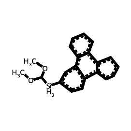 COC(OC)[SiH2]c1ccc2c3ccccc3c3ccccc3c2c1